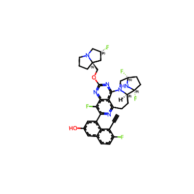 C#Cc1c(F)ccc2cc(O)cc(-c3nc4c5c(nc(OC[C@@]67CCCN6C[C@H](F)C7)nc5c3F)N3C[C@@]5(F)CC[C@](F)(N5)[C@H]3CC4)c12